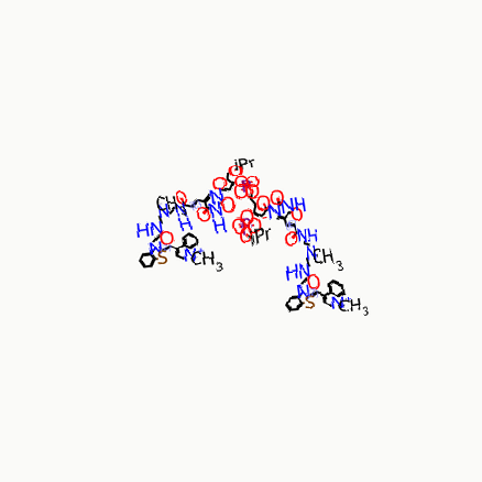 CC(C)OCC1OC(n2cc(/C=C/C(=O)NCCN(C)CCNC(=O)CN3/C(=C/c4cc[n+](C)c5ccccc45)Sc4ccccc43)c(=O)[nH]c2=O)CC1OP(=O)([O-])OCC1OC(n2cc(/C=C/C(=O)NCCN(C)CCNC(=O)CN3/C(=C/c4cc[n+](C)c5ccccc45)Sc4ccccc43)c(=O)[nH]c2=O)CC1OP(=O)([O-])OC(C)C